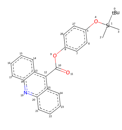 CC(C)(C)[Si](C)(C)Oc1ccc(OC(=O)c2c3ccccc3nc3ccccc23)cc1